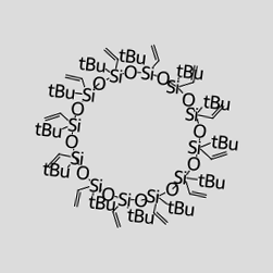 C=C[Si]1(C(C)(C)C)O[Si](C=C)(C(C)(C)C)O[Si](C=C)(C(C)(C)C)O[Si](C=C)(C(C)(C)C)O[Si](C=C)(C(C)(C)C)O[Si](C=C)(C(C)(C)C)O[Si](C=C)(C(C)(C)C)O[Si](C=C)(C(C)(C)C)O[Si](C=C)(C(C)(C)C)O[Si](C=C)(C(C)(C)C)O[Si](C=C)(C(C)(C)C)O[Si](C=C)(C(C)(C)C)O1